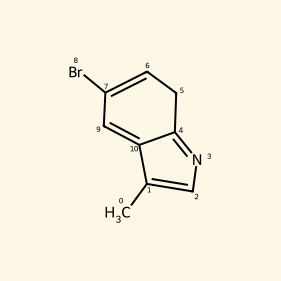 CC1=CN=C2CC=C(Br)C=C12